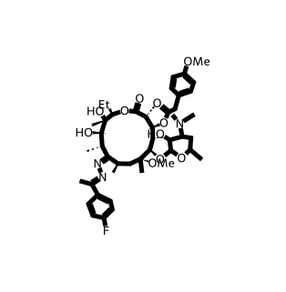 CC[C@H]1OC(=O)[C@H](C)[C@@H](OC(=O)Cc2ccc(OC)cc2)[C@H](C)[C@@H](OC2OC(C)CC(N(C)C)C2O)[C@](C)(OC)C[C@@H](C)/C(=N\N=C(/C)c2ccc(F)cc2)[C@H](C)[C@@H](O)[C@]1(C)O